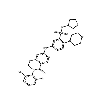 O=C1c2cnc(Nc3ccc(N4CCNCC4)c(S(=O)(=O)NC4CCCC4)c3)nc2SCN1c1c(Cl)cccc1Cl